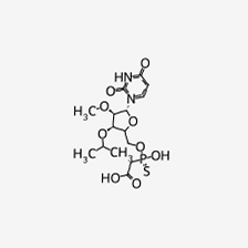 CO[C@@H]1[C@H](OC(C)C)C(COP(O)(=S)CC(=O)O)O[C@H]1n1ccc(=O)[nH]c1=O